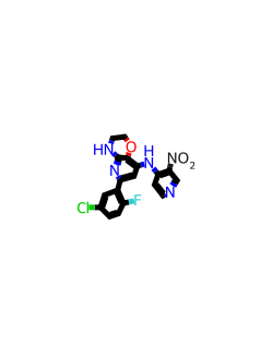 O=[N+]([O-])c1cnccc1Nc1cc(-c2cc(Cl)ccc2F)nc2c1OCCN2